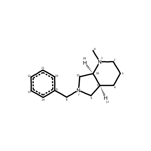 CN1CCC[C@H]2CN(Cc3ccccc3)C[C@H]21